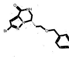 O=C1NC[C@H](CCOCc2ccccc2)n2nc(Br)cc21